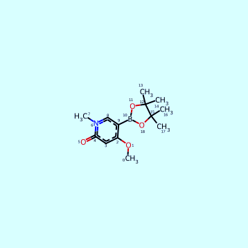 COc1cc(=O)n(C)cc1B1OC(C)(C)C(C)(C)O1